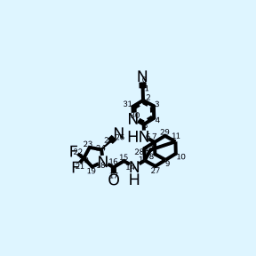 N#Cc1ccc(NC23CC4CC(CC(NCC(=O)N5CC(F)(F)C[C@H]5C#N)(C4)C2)C3)nc1